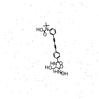 C[C@@H](O)[C@H](NC(=O)c1ccc(C#CC#Cc2cccc(N(C(=O)O)C(C)(C)C)c2)cc1)C(=O)NO